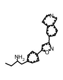 CC[C@@H](N)Cc1ccc(-c2cc(-c3ccc4cnccc4c3)no2)cc1